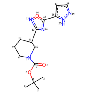 CC(C)(C)OC(=O)N1CCCC(c2noc(-c3ccn[nH]3)n2)C1